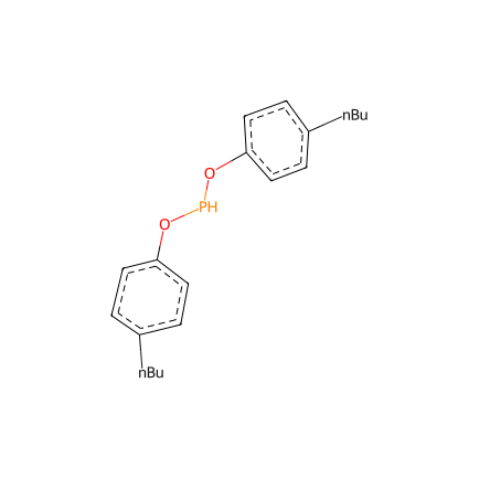 CCCCc1ccc(OPOc2ccc(CCCC)cc2)cc1